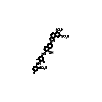 Cc1ccc(N=Nc2c(C)cc(N=Nc3ccc4cc(-n5nc6ccc7c(S(=O)(=O)O)cc(S(=O)(=O)O)cc7c6n5)ccc4c3O)cc2C)c(S(=O)(=O)O)c1